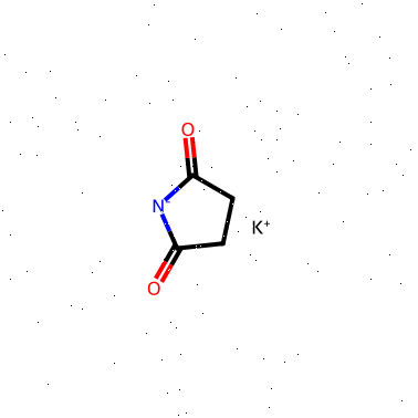 O=C1CCC(=O)[N-]1.[K+]